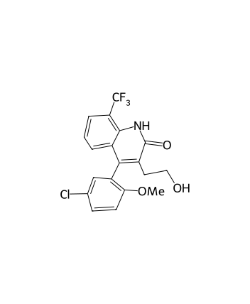 COc1ccc(Cl)cc1-c1c(CCO)c(=O)[nH]c2c(C(F)(F)F)cccc12